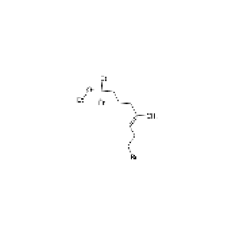 CCOC(CC)(CC)CCCC(C)=CCCBr